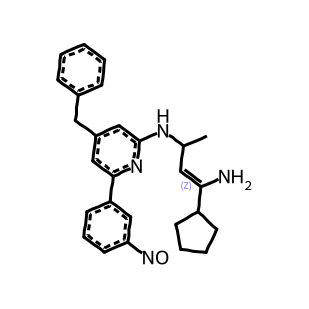 CC(/C=C(\N)C1CCCC1)Nc1cc(Cc2ccccc2)cc(-c2cccc(N=O)c2)n1